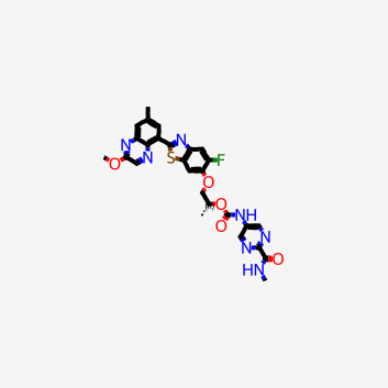 CNC(=O)c1ncc(NC(=O)O[C@H](C)COc2cc3sc(-c4cc(C)cc5nc(OC)cnc45)nc3cc2F)cn1